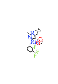 Cc1nc(CC2(C)CC2)c(C2OCCO2)c(NCc2cccc(C(F)F)c2F)n1